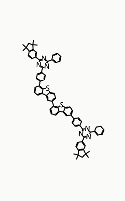 CC1(C)CC(C)(C)c2cc(-c3nc(C4=CC=CCC4)nc(-c4ccc(-c5ccc6sc7c(-c8ccc9sc%10c(-c%11ccc(-c%12nc(-c%13ccccc%13)nc(-c%13ccc%14c(c%13)C(C)(C)CC%14(C)C)n%12)cc%11)cccc%10c9c8)cccc7c6c5)cc4)n3)ccc21